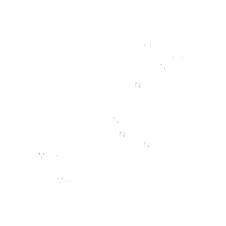 COc1ccc(-c2ccnc3cc(C(=O)N4CCN(C)[C@@H](C)C4)nn23)cc1OC